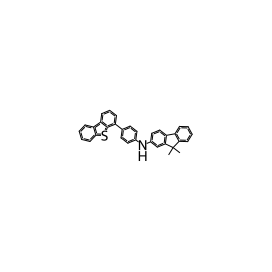 CC1(C)c2ccccc2-c2ccc(Nc3ccc(-c4cccc5c4sc4ccccc45)cc3)cc21